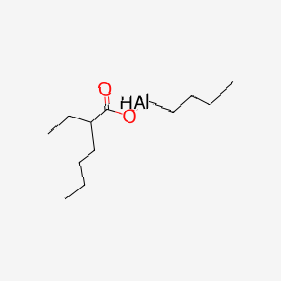 CCC[CH2][AlH][O]C(=O)C(CC)CCCC